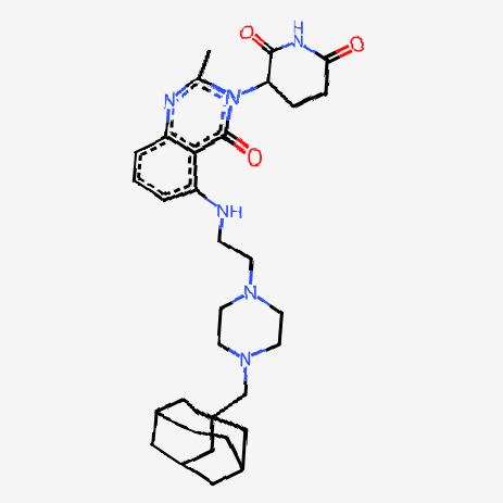 Cc1nc2cccc(NCCN3CCN(CC45CC6CC(CC(C6)C4)C5)CC3)c2c(=O)n1C1CCC(=O)NC1=O